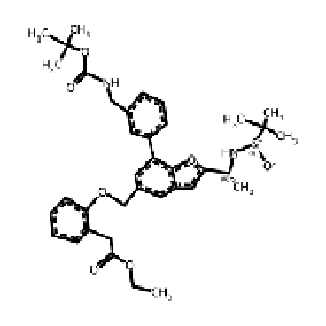 CCOC(=O)Cc1ccccc1OCc1cc(-c2cccc(CNC(=O)OC(C)(C)C)c2)c2oc([C@@H](C)N[S@+]([O-])C(C)(C)C)cc2c1